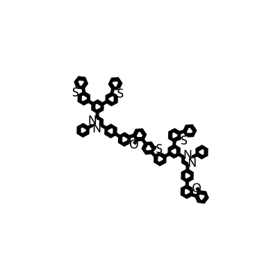 c1ccc(-c2nc(-c3ccc(-c4ccc5oc6c(-c7ccc8c(c7)sc7c(-c9cc(-c%10cc(-c%11ccc(-c%12cccc%13c%12oc%12ccccc%12%13)cc%11)nc(-c%11ccccc%11)n%10)cc(-c%10cccc%11c%10sc%10ccccc%10%11)c9)cccc78)cccc6c5c4)cc3)cc(-c3cc(-c4ccc5sc6ccccc6c5c4)cc(-c4ccc5sc6ccccc6c5c4)c3)n2)cc1